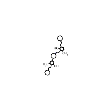 Cc1cc(C2CCC/C(=C/Cc3c(C)ccc(CC=C4CCCCCC4)c3O)CC2)cc(O)c1CC=C1CCCCCC1